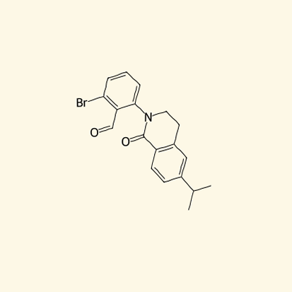 CC(C)c1ccc2c(c1)CCN(c1cccc(Br)c1C=O)C2=O